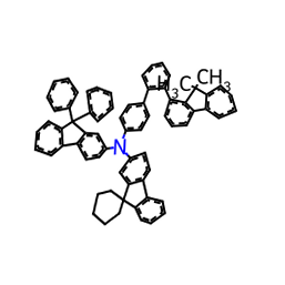 CC1(C)c2ccccc2-c2cccc(-c3ccccc3-c3ccc(N(c4ccc5c(c4)C4(CCCCC4)c4ccccc4-5)c4ccc5c(c4)C(c4ccccc4)(c4ccccc4)c4ccccc4-5)cc3)c21